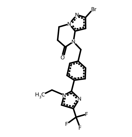 CCn1cc(C(F)(F)F)nc1-c1ccc(CN2C(=O)CCn3nc(Br)cc32)cc1